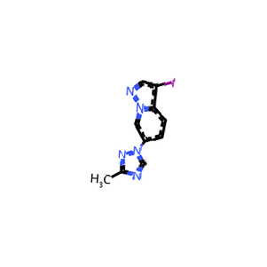 Cc1ncn(-c2ccc3c(I)cnn3c2)n1